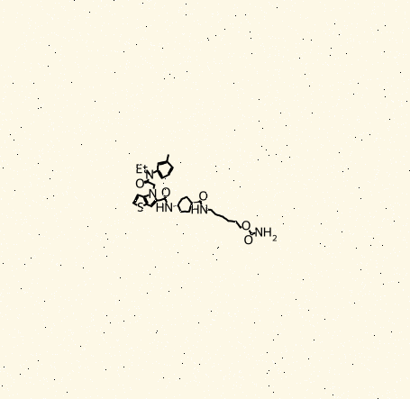 CCN(C(=O)Cn1c(C(=O)N[C@H]2CC[C@H](C(=O)NCCCCCCOC(N)=O)CC2)cc2sccc21)c1cccc(C)c1